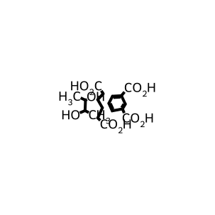 CC(O)C(C)O.O=C(O)CCCCC(=O)O.O=C(O)c1cccc(C(=O)O)c1